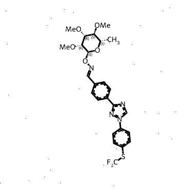 CO[C@@H]1[C@@H](OC)[C@H](C)O[C@@H](ON=Cc2ccc(-c3ncn(-c4ccc(SC(F)(F)F)cc4)n3)cc2)[C@@H]1OC